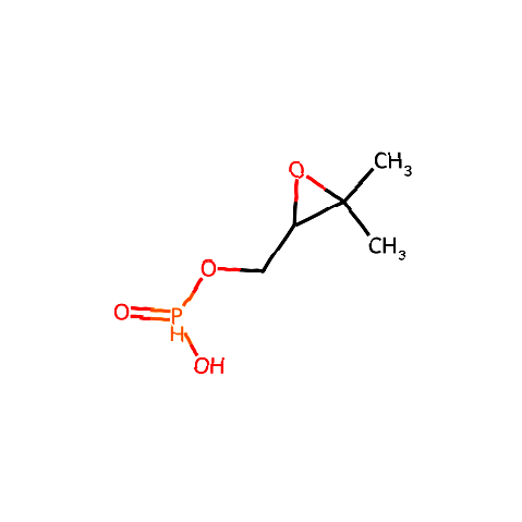 CC1(C)OC1CO[PH](=O)O